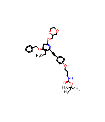 CCc1c(OCc2ccccc2)cc(OCC2COCCO2)nc1C#Cc1ccc(OCCCNC(=O)OC(C)(C)C)cc1